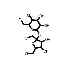 OC1C(OC2(CCl)OC(CCl)C(O)C2O)OC(CCl)C(Cl)C1O